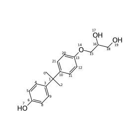 CC(C)(c1ccc(O)cc1)c1ccc(OCC(O)CO)cc1